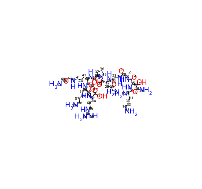 C[C@H](NC(=O)[C@@H](NC(=O)[C@@H](N)CCCCN)[C@@H](O)CN)C(=O)NCC(=O)N[C@H](CCCN)C(=O)N1CCC[C@H]1C(O)N[C@@H](CCCNCOCN)C(=O)N[C@@H](CCCCN)C(=O)N/C(=C\CCNC(=N)N)C(=O)O